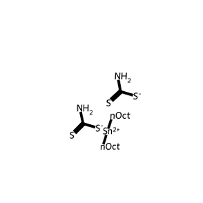 CCCCCCC[CH2][Sn+2][CH2]CCCCCCC.NC(=S)[S-].NC(=S)[S-]